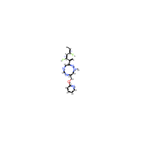 C=C(/C(F)=C\C(F)=C/C)c1cncnc(COc2ccccn2)cn(C)n1